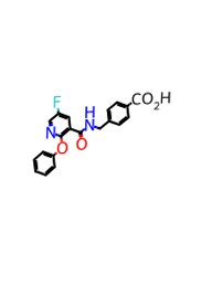 O=C(O)c1ccc(CNC(=O)c2cc(F)cnc2Oc2ccccc2)cc1